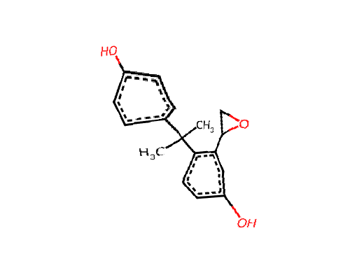 CC(C)(c1ccc(O)cc1)c1ccc(O)cc1C1CO1